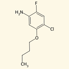 CCCCOc1cc(N)c(F)cc1Cl